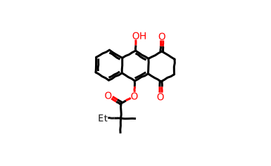 CCC(C)(C)C(=O)Oc1c2c(c(O)c3ccccc13)C(=O)CCC2=O